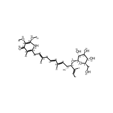 C/C=C(\C)[C@H](O[C@@H]1O[C@H](CO)[C@@H](O)[C@H](O)[C@H]1O)[C@H](C)/C=C(C)/C=C/C/C(C)=C/Cc1[nH]c(OC)c(OC)c(=O)c1C